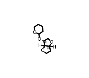 C1CCC(O[C@@H]2CO[C@@H]3CCO[C@@H]32)OC1